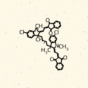 CN1C(=CC=C2C(=O)c3ccccc3C2=O)C(C)(CCCCC2(C)C(=CC=C3C(=O)c4ccccc4C3=O)N(C)c3cc(Cl)ccc32)c2ccc(Cl)cc21